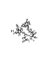 CC(C)[C@H](N)C(=O)OCC(CO)OCn1cnc2c(=O)nc(N)[nH]c21.CC(C)[C@H](N)C(=O)OCCOCn1cnc2c(=O)[nH]c(N)nc21